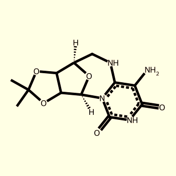 CC1(C)OC2C(O1)[C@H]1CNc3c(N)c(=O)[nH]c(=O)n3[C@@H]2O1